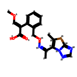 CO/C=C(/C(=O)O)c1ccccc1CO/N=C(/C)c1c(C)sc2ncnn12